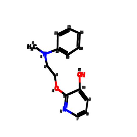 CN(CCOc1ncccc1O)c1ccccc1